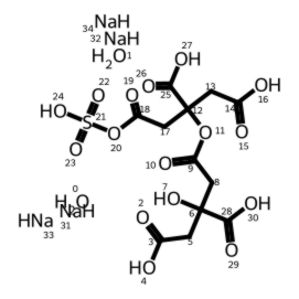 O.O.O=C(O)CC(O)(CC(=O)OC(CC(=O)O)(CC(=O)OS(=O)(=O)O)C(=O)O)C(=O)O.[NaH].[NaH].[NaH].[NaH]